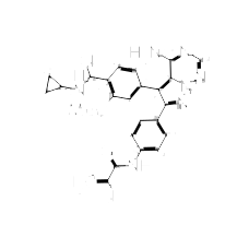 C=C(F)C(=O)Nc1ccc(-c2nn3ncnc(N)c3c2-c2ccc(C(NC3CC3)C(F)(F)F)c(OC)c2)cc1